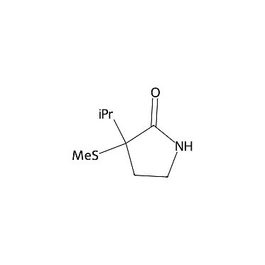 CSC1(C(C)C)CCNC1=O